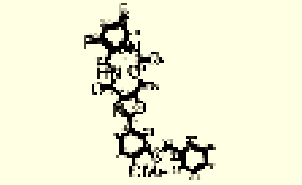 COc1ccc(-c2nc(C(=O)NCc3ccc(F)cc3F)c(C(C)OC(N)=O)o2)cc1OCc1ccccc1